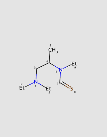 CCN(CC)CC(C)N([C]=S)CC